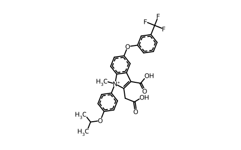 CC(C)Oc1ccc([N+]2(C)C(CC(=O)O)=C(C(=O)O)c3cc(Oc4cccc(C(F)(F)F)c4)ccc32)cc1